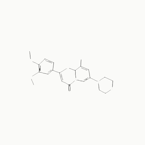 COc1ccc(C2=CC(=O)N3C=C(N4CCNCC4)C=C(C)C3P2)cc1OC